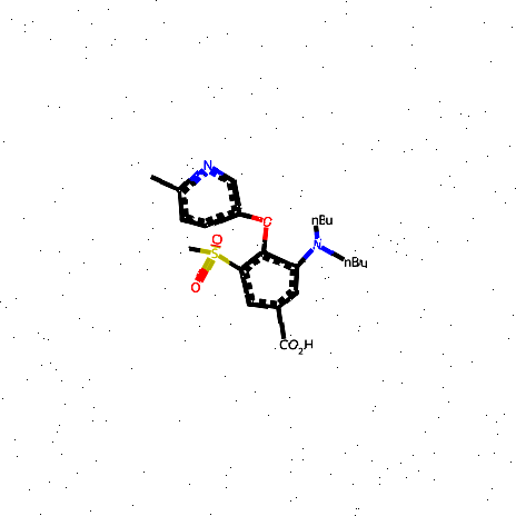 CCCCN(CCCC)c1cc(C(=O)O)cc(S(C)(=O)=O)c1Oc1ccc(C)nc1